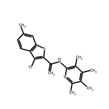 C=C(Nc1nc(C)c(C)c(C)c1C)c1sc2cc(C)ccc2c1Cl